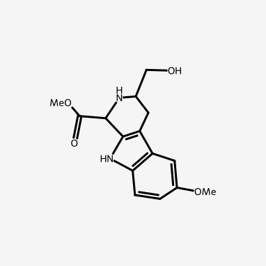 COC(=O)C1NC(CO)Cc2c1[nH]c1ccc(OC)cc21